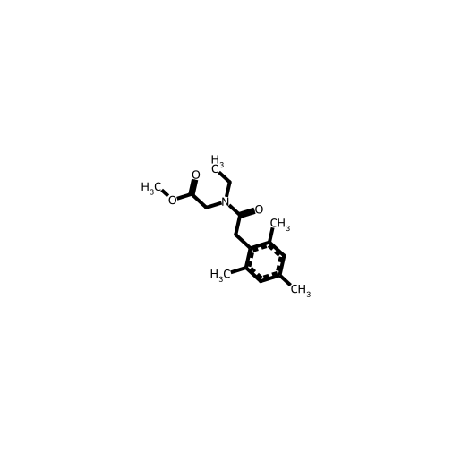 CCN(CC(=O)OC)C(=O)Cc1c(C)cc(C)cc1C